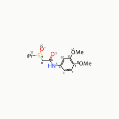 COc1ccc(NC(=O)C[S+]([O-])C(C)C)cc1OC